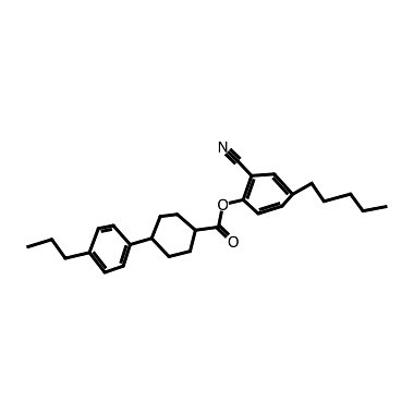 CCCCCc1ccc(OC(=O)C2CCC(c3ccc(CCC)cc3)CC2)c(C#N)c1